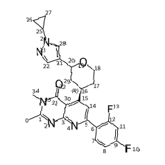 Cc1nc2nc(-c3ccc(F)cc3F)cc([C@@H]3CCOC(c4cnn(C5CC5)c4)C3)c2c(=O)n1C